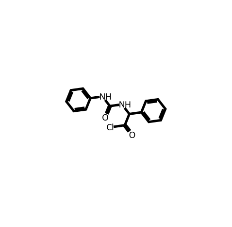 O=C(Nc1ccccc1)NC(C(=O)Cl)c1ccccc1